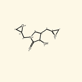 O=C1C(O)C(CC2CO2)CN1CC1CO1